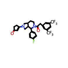 O=C1C=C(N2CC3CCN(C(=O)Cc4cc(C(F)(F)F)cc(C(F)(F)F)c4)C(c4ccc(F)cc4)C3C2)CC1